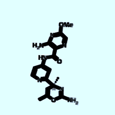 COc1cnc(C(=O)Nc2ccnc([C@]3(C)C=C(C)OC(N)=N3)c2)c(N)n1